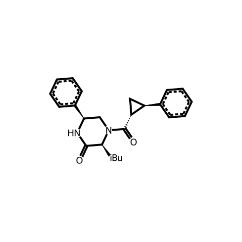 CCC(C)[C@H]1C(=O)N[C@@H](c2ccccc2)CN1C(=O)[C@@H]1C[C@H]1c1ccccc1